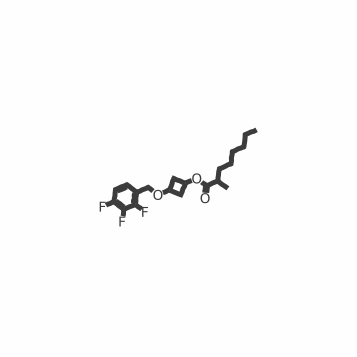 CCCCCCC(C)C(=O)OC1CC(OCc2ccc(F)c(F)c2F)C1